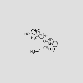 C[C@H]1CN(C[C@H](Cc2ccccc2)C(=O)N[C@@H](CCCCN)C(=O)O)CC[C@@]1(C)c1cccc(O)c1